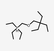 CCC(CC)(CC)COC[PH](CC)(CC)CC